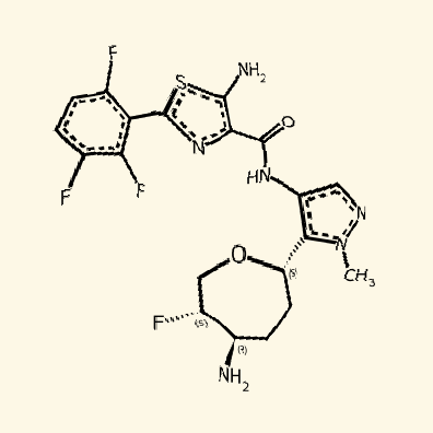 Cn1ncc(NC(=O)c2nc(-c3c(F)ccc(F)c3F)sc2N)c1[C@@H]1CC[C@@H](N)[C@H](F)CO1